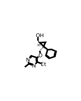 CCc1nc(C)ncc1OC[C@@]1(C2C=CC=CC2)C[C@H]1CO